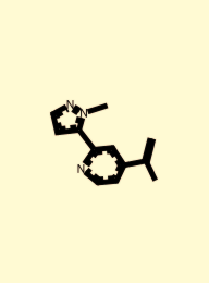 C=C(C)c1ccnc(-c2ccnn2C)c1